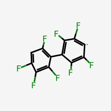 Fc1[c]c(F)c(F)c(-c2c(F)cc(F)c(F)c2F)c1F